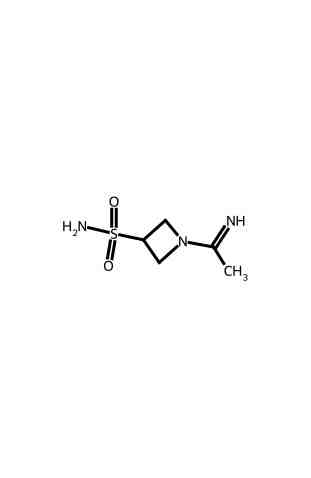 CC(=N)N1CC(S(N)(=O)=O)C1